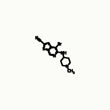 CN1CCC(Nc2ncc3sc(C#N)cc3c2Br)CC1